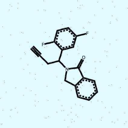 C#CCC(c1cc(F)ccc1F)N1Cc2ccccc2C1=O